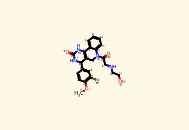 COc1ccc(C2NC(=O)NC3=C2CN(C(=O)CNCCO)c2ccccc23)cc1Br